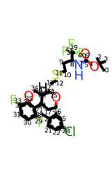 CC(C)(C)OC(=O)NC(CCSCC[C@@H]1OCC[C@@]2(Cc3ccc(Cl)cc3)c3c(F)ccc(F)c3OC[C@@H]12)C(F)(F)F